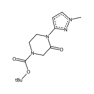 Cn1ccc(N2CCN(C(=O)OC(C)(C)C)CC2=O)n1